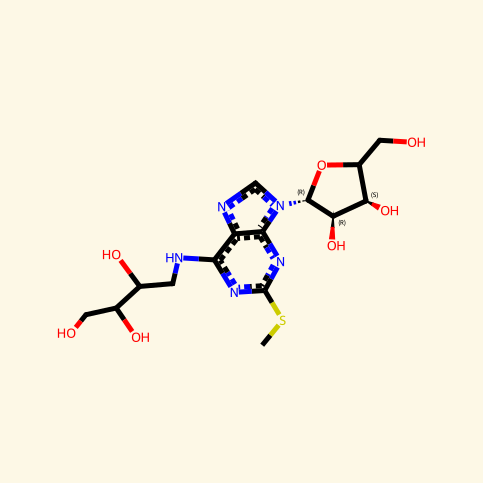 CSc1nc(NCC(O)C(O)CO)c2ncn([C@@H]3OC(CO)[C@@H](O)[C@H]3O)c2n1